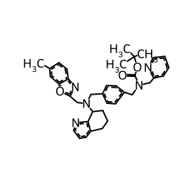 Cc1ccc2nc(CN(Cc3ccc(CN(Cc4ccccn4)C(=O)OC(C)(C)C)cc3)C3CCCc4cccnc43)oc2c1